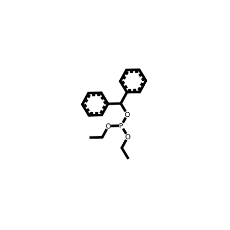 CCOP(OCC)OC(c1ccccc1)c1ccccc1